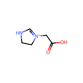 O=C(O)C[N+]1=CNCC1